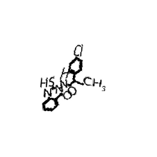 CCC(C(=O)Nn1c(S)nc2ccccc2c1=O)c1ccc(Cl)cc1